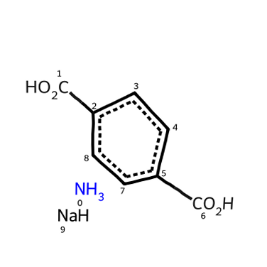 N.O=C(O)c1ccc(C(=O)O)cc1.[NaH]